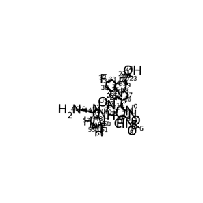 Cn1nc(NS(C)(=O)=O)c2c(Cl)ccc(-c3ccc(C#CC(C)(C)O)nc3[C@H](Cc3cc(F)cc(F)c3)NC(=O)Cn3nc(C#CN)c4c3C(F)(F)[C@@H]3C[C@H]43)c21